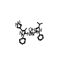 Cc1c(-c2cnn(C)c2)nn(-c2ccccc2)c1NC(=O)Nc1cc(C(C)C)nn1-c1ccccc1